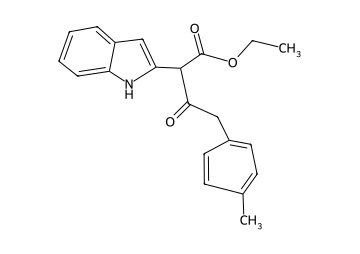 CCOC(=O)C(C(=O)Cc1ccc(C)cc1)c1cc2ccccc2[nH]1